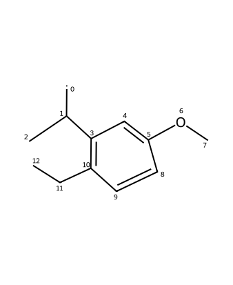 [CH2]C(C)c1cc(OC)ccc1CC